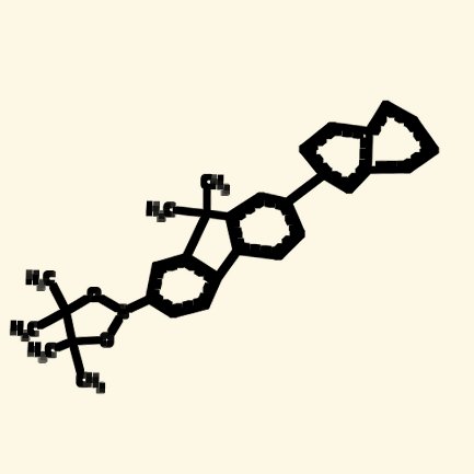 CC1(C)c2cc(B3OC(C)(C)C(C)(C)O3)ccc2-c2ccc(-c3ccc4ccccc4c3)cc21